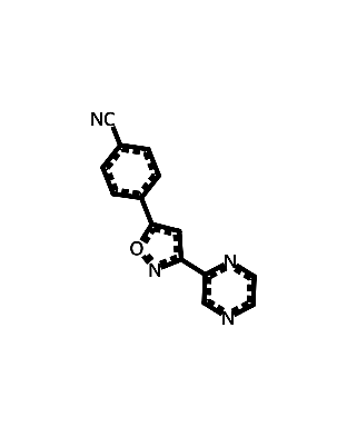 N#Cc1ccc(-c2cc(-c3cnccn3)no2)cc1